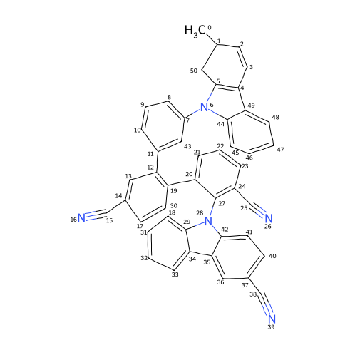 CC1C=Cc2c(n(-c3cccc(-c4cc(C#N)ccc4-c4cccc(C#N)c4-n4c5ccccc5c5cc(C#N)ccc54)c3)c3ccccc23)C1